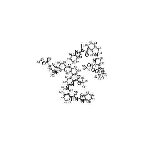 CC(C)(C)OC(=O)c1nc(N2CCc3cccc(C(=O)Nc4nc5ccccc5s4)c3C2)ccc1B1OC(C)(C)C(C)(C)O1.CCOC(=O)CC[C@@H](c1ccc(Oc2cccc(-c3ccc(N4CCc5cccc(C(=O)Nc6nc7ccccc7s6)c5C4)nc3C(=O)OC(C)(C)C)c2C)cc1)C(F)(F)F